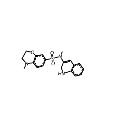 CN1CCOc2cc(S(=O)(=O)N(C)C3=Cc4ccccc4NC3)ccc21